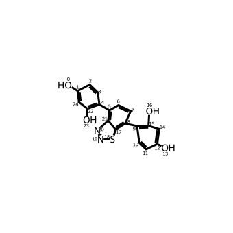 Oc1ccc(-c2ccc(-c3ccc(O)cc3O)c3snnc23)c(O)c1